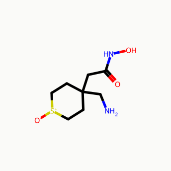 NCC1(CC(=O)NO)CC[S+]([O-])CC1